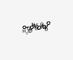 COc1cc2c(Oc3ccc(N4CC(=O)N(Cc5ccccc5)CC4=O)cc3F)ccnc2cc1OCc1ccccc1